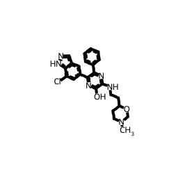 CN1CCC(CCNc2nc(-c3ccccc3)c(-c3cc(Cl)c4[nH]ncc4c3)nc2O)OC1